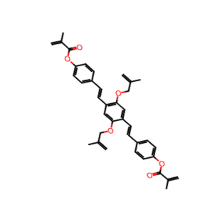 C=C(C)COc1cc(/C=C/c2ccc(OC(=O)C(=C)C)cc2)c(OCC(=C)C)cc1/C=C/c1ccc(OC(=O)C(=C)C)cc1